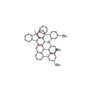 CC(C)(C)c1cc(-c2cccc3cccc(-c4ccccc4N(c4ccc5c(c4)C(C)(c4ccccc4)c4ccccc4-5)c4cc(C(C)(C)C)ccc4-c4ccccc4)c23)cc(C(C)(C)C)c1